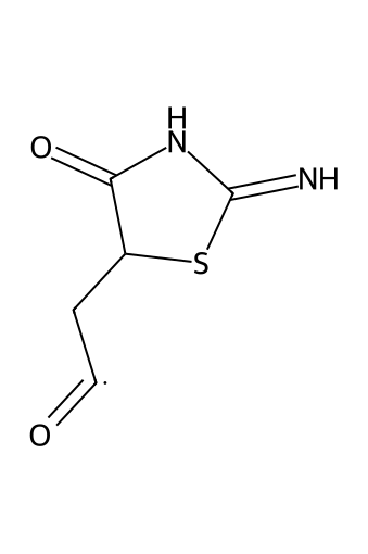 N=C1NC(=O)C(C[C]=O)S1